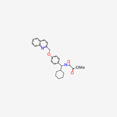 COC(=O)C1ON1C(c1ccc(OCc2ccc3ccccc3n2)cc1)C1CCCCC1